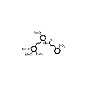 COc1ccc(NC(=O)/C=C/c2ccccc2[N+](=O)[O-])c(C=Cc2cc(OC)c(OC)c(OC)c2)c1